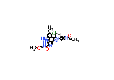 C=CC(=O)N1CC2(CC(n3nc(-c4ccc(C(=O)NCCOC)nc4)c(-c4c(Cl)c(C)cc5[nH]ncc45)c3C)C2)C1